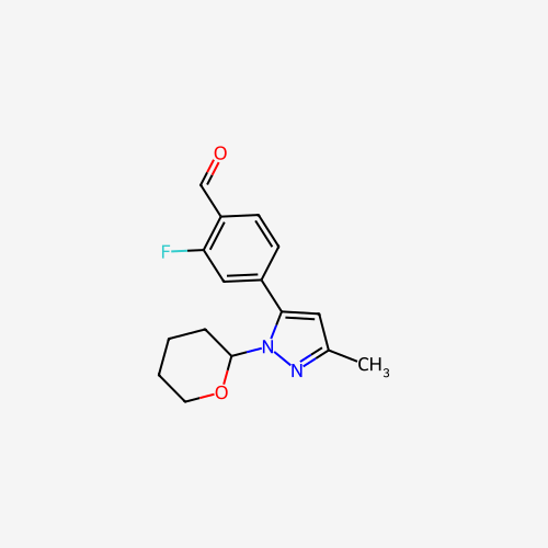 Cc1cc(-c2ccc(C=O)c(F)c2)n(C2CCCCO2)n1